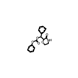 O=C(Oc1ccccc1)OC(c1ccccc1)C1OCCNC1=O